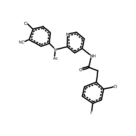 CC(=O)N(c1ccc(Cl)c(C#N)c1)c1cc(NC(=O)Cc2ccc(F)cc2Cl)ccn1